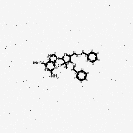 CNc1nc(N)nc2c1ncn2C1OC(COCc2ccccc2)C(OCc2ccccc2)C1(F)Cl